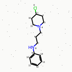 ClC1CCN(CCCNc2ccccc2)CC1